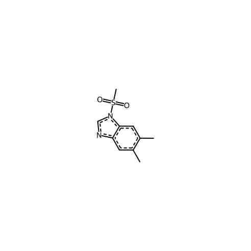 Cc1cc2ncn(S(C)(=O)=O)c2cc1C